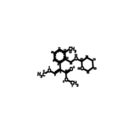 CO/C=C(/C(=O)OC)c1cccc(C)c1COC1CCCCO1